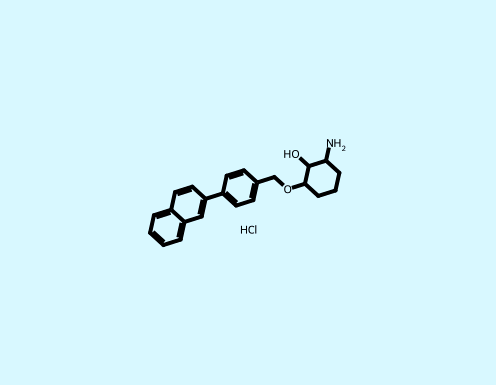 Cl.NC1CCCC(OCc2ccc(-c3ccc4ccccc4c3)cc2)C1O